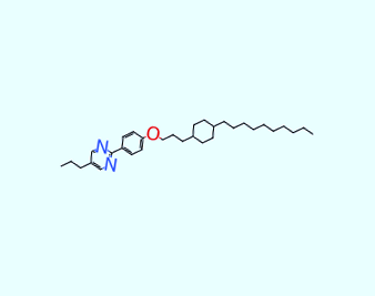 CCCCCCCCCCC1CCC(CCCOc2ccc(-c3ncc(CCC)cn3)cc2)CC1